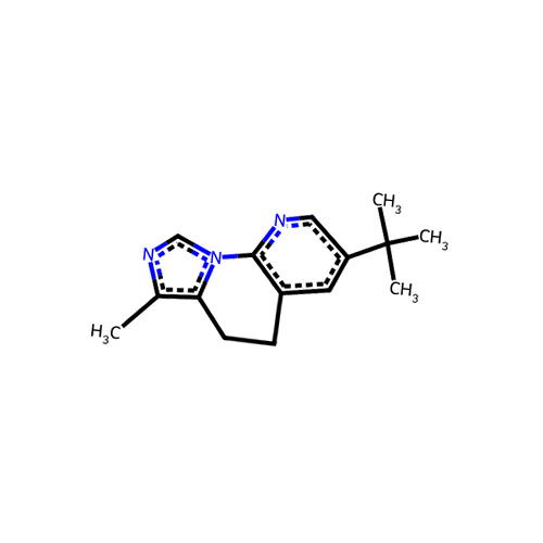 Cc1ncn2c1CCc1cc(C(C)(C)C)cnc1-2